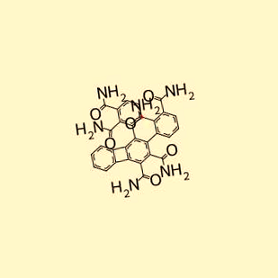 NC(=O)c1cccc(-c2c(C(N)=O)c(C(N)=O)c3c(c2-c2cccc(C(N)=O)c2C(N)=O)-c2ccccc2-3)c1C(N)=O